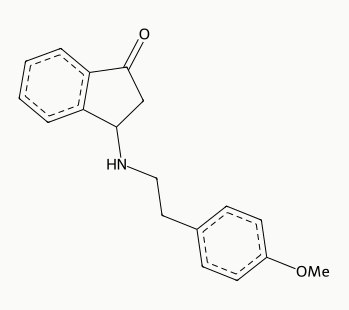 COc1ccc(CCNC2CC(=O)c3ccccc32)cc1